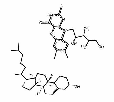 CC(C)CCC[C@@H](C)[C@H]1CC[C@H]2[C@@H]3CC=C4C[C@@H](O)CC[C@]4(C)[C@H]3CC[C@]12C.Cc1cc2nc3c(=O)[nH]c(=O)nc-3n(C[C@H](O)[C@H](O)[C@H](O)CO)c2cc1C